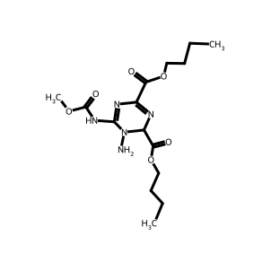 CCCCOC(=O)C1=NC(C(=O)OCCCC)N(N)C(NC(=O)OC)=N1